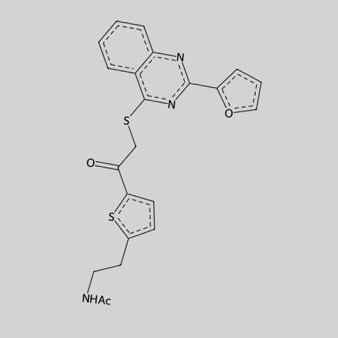 CC(=O)NCCc1ccc(C(=O)CSc2nc(-c3ccco3)nc3ccccc23)s1